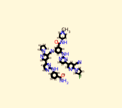 CN1CCC(NC(=O)c2cccc(Nc3nccc(-c4cnc(N5CCC(F)C5)c(C#N)c4)n3)c2)CC1.N#Cc1cc(-c2ccnc(Nc3cccc(C(N)=O)c3)n2)cnc1N1CCCC1